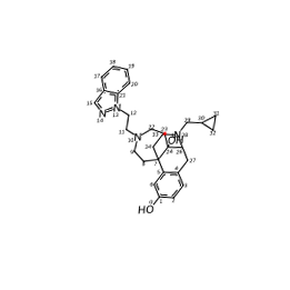 Oc1ccc2c(c1)C13CCN(CCn4ncc5ccccc54)CCC1(O)C(C2)N(CC1CC1)CC3